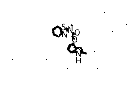 Cc1cc2c(OCC(=O)N(C)c3nc4c(s3)CCCC4)cccc2[nH]1